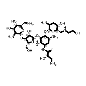 NC[C@@H]1O[C@H](O[C@H]2[C@@H](O)[C@H](O[C@@H]3[C@@H](O)[C@H](NC(=O)[C@@H](O)CN)C[C@H](N)[C@H]3O[C@H]3O[C@H](CNCCO)[C@@H](O)CC3N)O[C@@H]2CO)C(N)[C@@H](O)[C@@H]1O